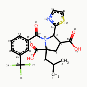 CC(C)CC1(C(=O)O)CC(C(=O)O)C(c2nccs2)N1C(=O)c1cccc(C(F)(F)F)c1